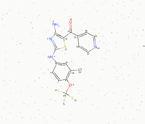 Nc1nc(Nc2ccc(OC(F)(F)F)c(Cl)c2)sc1C(=O)c1ccncc1